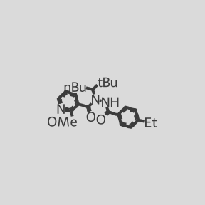 CCCCC(N(NC(=O)c1ccc(CC)cc1)C(=O)c1cccnc1OC)C(C)(C)C